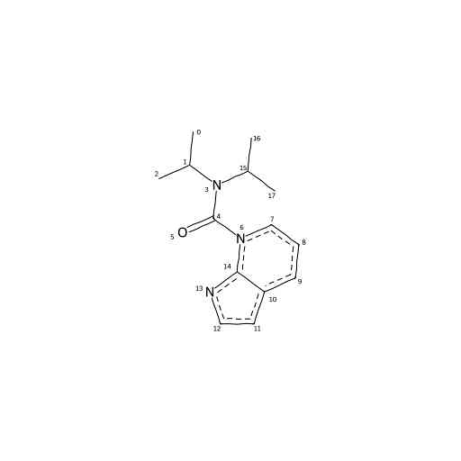 CC(C)N(C(=O)n1cccc2ccnc1-2)C(C)C